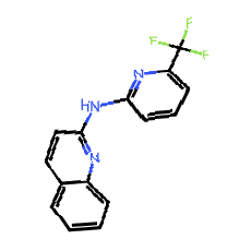 FC(F)(F)c1cccc(Nc2ccc3ccccc3n2)n1